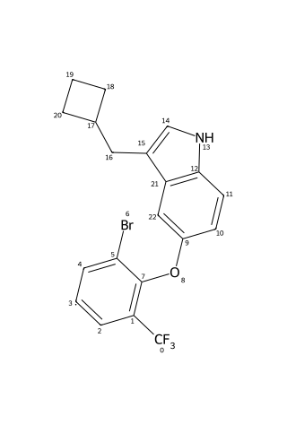 FC(F)(F)c1c[c]cc(Br)c1Oc1ccc2[nH]cc(CC3CCC3)c2c1